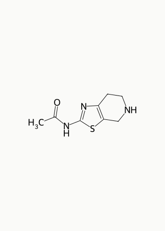 CC(=O)Nc1nc2c(s1)CNCC2